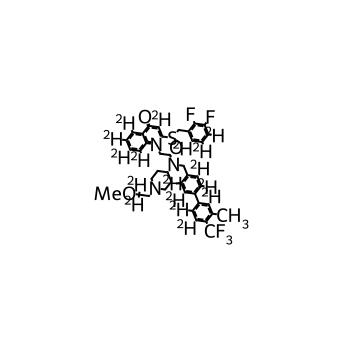 [2H]c1c([2H])c(F)c(F)c(CSc2c([2H])c(=O)c3c([2H])c([2H])c([2H])c([2H])c3n2CC(=O)N(Cc2c([2H])c([2H])c(-c3c([2H])c([2H])c(C(F)(F)F)c(C)c3[2H])c([2H])c2[2H])C2CCN(CC([2H])([2H])OC)CC2)c1[2H]